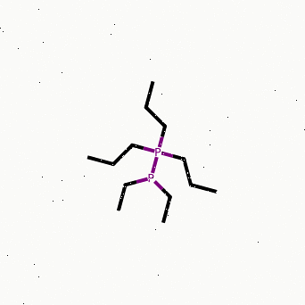 CCC[P](CCC)(CCC)P(CC)CC